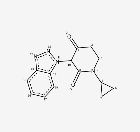 O=C1CCN(C2CC2)C(=O)C1n1nnc2ccccc21